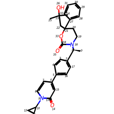 C[C@@H](c1ccc(-c2ccn(C3CC3)c(=O)c2)cc1)N1CCC(CC(C)(C)O)(c2ccccc2)OC1=O